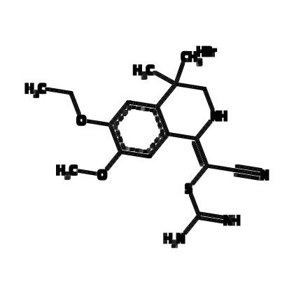 Br.CCOc1cc2c(cc1OC)C(=C(C#N)SC(=N)N)NCC2(C)C